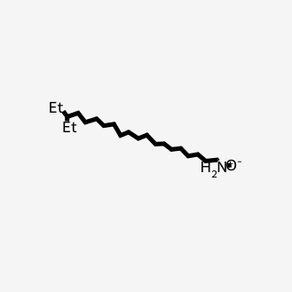 CCC(CC)CCCCCCCCCCCCCCCCC[NH2+][O-]